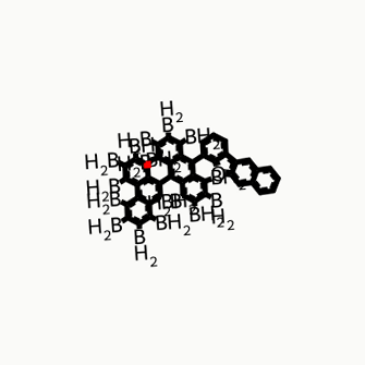 Bc1c(B)c(B)c2c(-c3c(B)c4c(B)c(B)c(B)c(B)c4c4c(B)c(B)c(B)c(B)c34)c3c(B)c(B)c(B)c(B)c3c(-c3cccc4c3oc3cc5ccccc5cc34)c2c1B